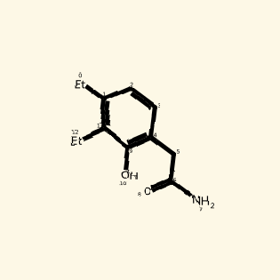 CCc1ccc(CC(N)=O)c(O)c1CC